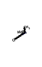 CCCC/C=C\C=C\CCCCCCCCl.[MgH2]